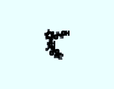 C[C@H](CCc1ccccc1OCCO)NC(=O)OC(C)(C)C